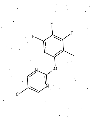 Cc1c(Oc2ncc(Cl)cn2)cc(F)c(F)c1F